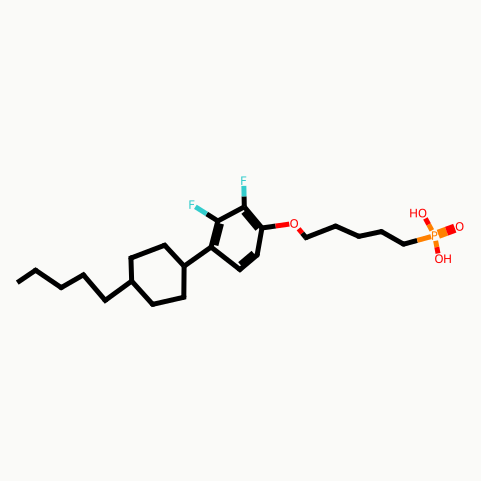 CCCCCC1CCC(c2ccc(OCCCCCP(=O)(O)O)c(F)c2F)CC1